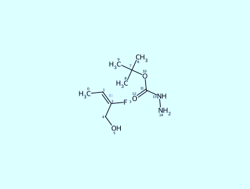 C/C=C(/F)CO.CC(C)(C)OC(=O)NN